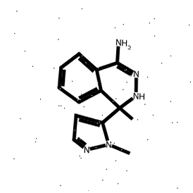 Cn1nccc1C1(C)NN=C(N)c2ccccc21